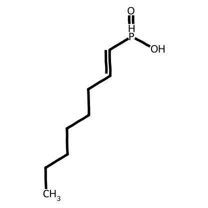 CCCCCCC=C[PH](=O)O